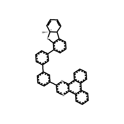 C1=CC2c3cccc(-c4cccc(-c5cccc(-c6cnc7c8ccccc8c8ccccc8c7n6)c5)c4)c3S[C@H]2C=C1